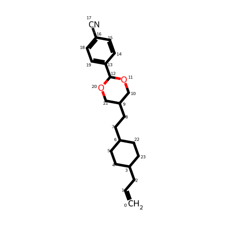 C=CCC1CCC(CCC2COC(c3ccc(C#N)cc3)OC2)CC1